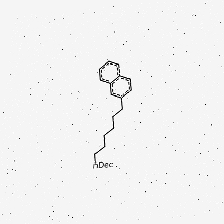 CCCCCCCCCCCCCCCCc1ccc2ccccc2c1